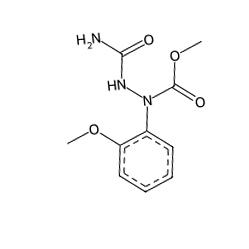 COC(=O)N(NC(N)=O)c1ccccc1OC